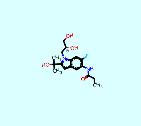 CCC(=O)Nc1cc2cc(C(C)(C)O)n(C[C@@H](O)CO)c2cc1F